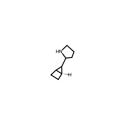 C1CNC(C2C3CC[C@@H]32)C1